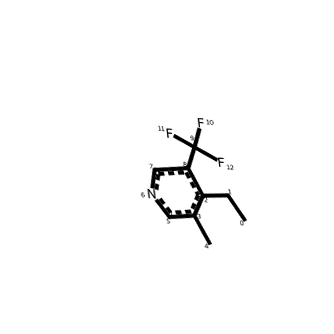 CCc1c(C)cncc1C(F)(F)F